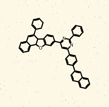 C1=CCCC(C2=Cc3ccccc3C3Oc4cc(-c5cc(-c6ccc(-c7ccc8ccccc8c7)cc6)nc(-c6ccccc6)n5)ccc4C23)=C1